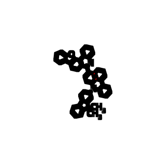 CC1(C)c2ccccc2-c2ccc(N(c3ccc(-c4nc5ccccc5c5c4ccc4c6ccccc6oc45)cc3)c3ccccc3-c3ccccc3)cc21